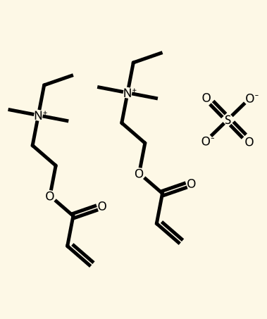 C=CC(=O)OCC[N+](C)(C)CC.C=CC(=O)OCC[N+](C)(C)CC.O=S(=O)([O-])[O-]